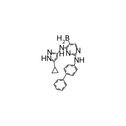 Bc1cnc(Nc2ccc(-c3ccccc3)cc2)nc1Nc1cc(C2CC2)[nH]n1